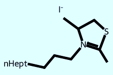 CCCCCCCCCC[N+]1=C(C)SCC1C.[I-]